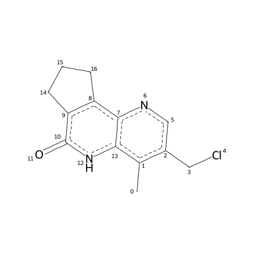 Cc1c(CCl)cnc2c3c(c(=O)[nH]c12)CCC3